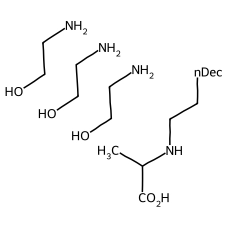 CCCCCCCCCCCCNC(C)C(=O)O.NCCO.NCCO.NCCO